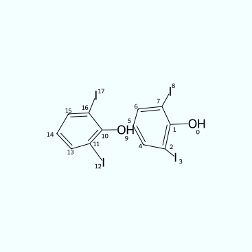 Oc1c(I)cccc1I.Oc1c(I)cccc1I